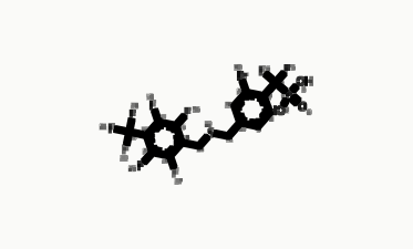 O=P(O)(O)C(F)(F)c1ccc(CSCc2c(F)c(F)c(C(F)(F)F)c(F)c2F)cc1Br